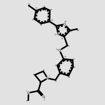 COC(=O)C1CCN1Cc1cccc(OCc2nc(-c3ccc(C)cc3)oc2C)c1